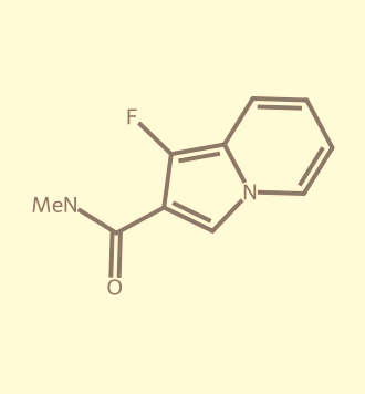 CNC(=O)c1cn2ccccc2c1F